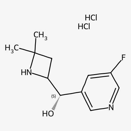 CC1(C)CC([C@@H](O)c2cncc(F)c2)N1.Cl.Cl